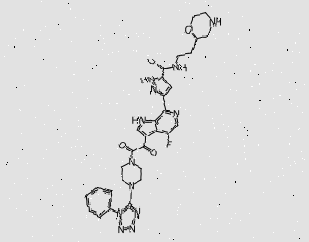 O=C(NCCC1CNCCO1)c1cc(-c2ncc(F)c3c(C(=O)C(=O)N4CCN(c5nnnn5-c5ccccc5)CC4)c[nH]c23)n[nH]1